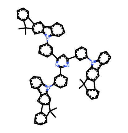 CC1(C)c2ccccc2-c2cc3c4ccccc4n(-c4cccc(-c5cc(-c6cccc(-n7c8ccccc8c8cc9c(cc87)C(C)(C)c7ccccc7-9)c6)nc(-c6cccc(-n7c8ccccc8c8cc9c(cc87)C(C)(C)c7ccccc7-9)c6)n5)c4)c3cc21